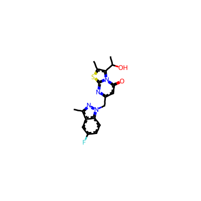 Cc1sc2nc(Cn3nc(C)c4cc(F)ccc43)cc(=O)n2c1C(C)O